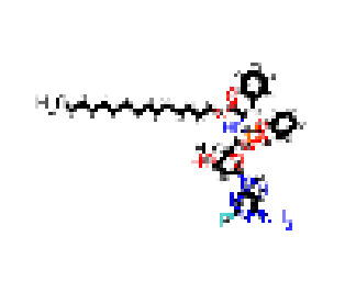 CCCCCCCCCCCCCCCOC(=O)[C@H](Cc1ccccc1)NP(=O)(OC[C@@]1(C)O[C@@H](n2cnc3c(N)nc(F)nc32)C[C@@H]1O)Oc1ccccc1